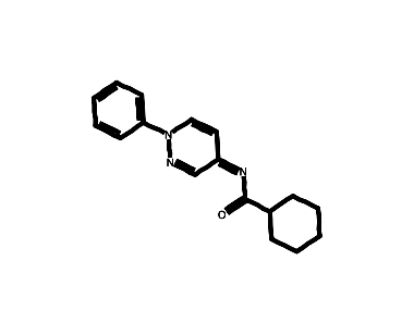 O=C(N=c1ccn(-c2ccccc2)nc1)C1CCCCC1